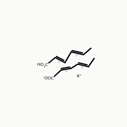 C/C=C/C=C/C(=O)O.C/C=C/C=C/C(=O)[O-].[K+]